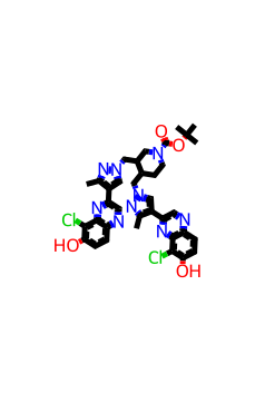 Cc1nn(CC2CCN(C(=O)OC(C)(C)C)CC2Cn2cc(-c3cnc4ccc(O)c(Cl)c4n3)c(C)n2)cc1-c1cnc2ccc(O)c(Cl)c2n1